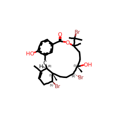 CC1=CC[C@H](Br)[C@@]2(C)CC[C@@H](Br)[C@@](C)(O)CCC(C)(C(C)(C)Br)OC(=O)c3ccc(O)c(c3)C[C@H]12